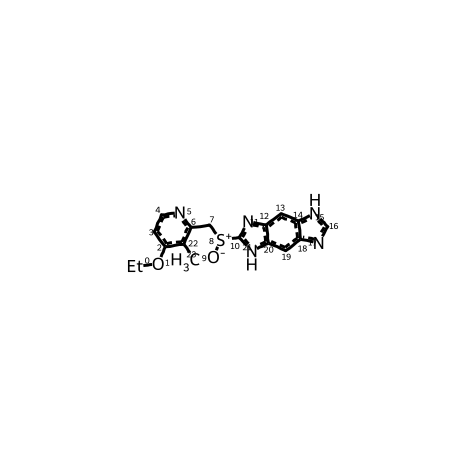 CCOc1ccnc(C[S+]([O-])c2nc3cc4[nH]cnc4cc3[nH]2)c1C